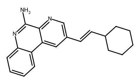 Nc1nc2ccccc2c2cc(/C=C/C3CCCCC3)cnc12